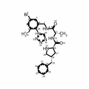 Cc1cc(Br)cc(CNC(=O)[C@H](C)NC(=O)[C@H]2C[C@H](Cc3ccccc3)CN2)c1-n1cnnn1